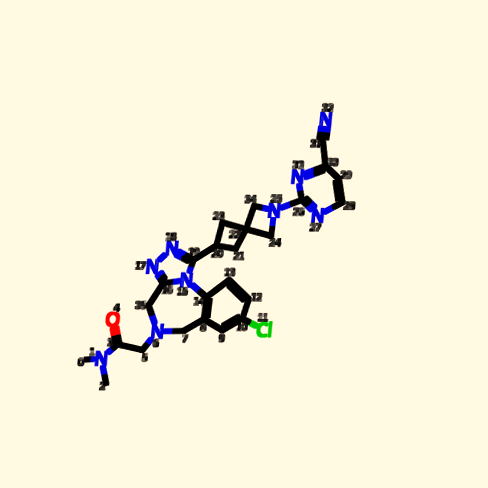 CN(C)C(=O)CN1Cc2cc(Cl)ccc2-n2c(nnc2C2CC3(C2)CN(c2nccc(C#N)n2)C3)C1